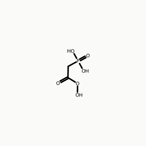 O=C(CP(=O)(O)O)OO